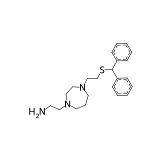 NCCN1CCCN(CCSC(c2ccccc2)c2ccccc2)CC1